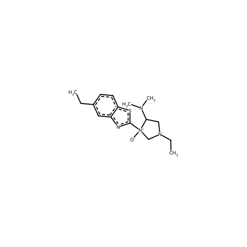 CCc1ccc2sc([N+]3([O-])CN(CC)CC3N(C)C)nc2c1